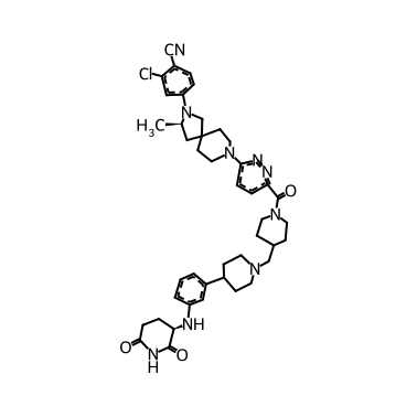 C[C@@H]1CC2(CCN(c3ccc(C(=O)N4CCC(CN5CCC(c6cccc(N[C@@H]7CCC(=O)NC7=O)c6)CC5)CC4)nn3)CC2)CN1c1ccc(C#N)c(Cl)c1